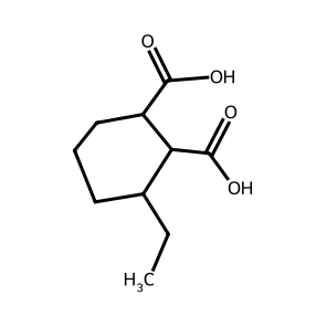 CCC1CCCC(C(=O)O)C1C(=O)O